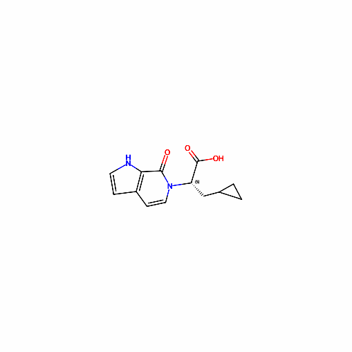 O=C(O)[C@H](CC1CC1)n1ccc2cc[nH]c2c1=O